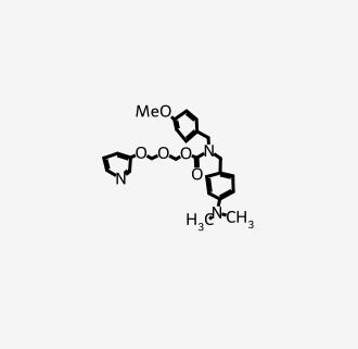 COc1ccc(CN(Cc2ccc(N(C)C)cc2)C(=O)OCOCOc2cccnc2)cc1